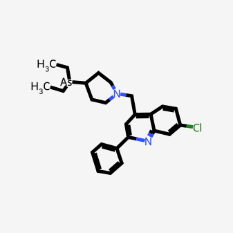 CC[As](CC)C1CCN(Cc2cc(-c3ccccc3)nc3cc(Cl)ccc23)CC1